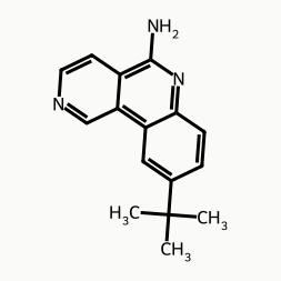 CC(C)(C)c1ccc2nc(N)c3ccncc3c2c1